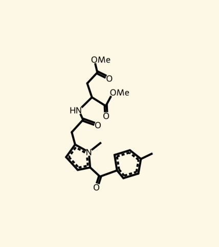 COC(=O)CC(NC(=O)Cc1ccc(C(=O)c2ccc(C)cc2)n1C)C(=O)OC